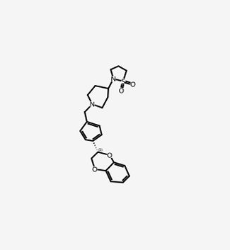 O=S1(=O)CCCN1C1CCN(Cc2ccc([C@H]3COc4ccccc4O3)cc2)CC1